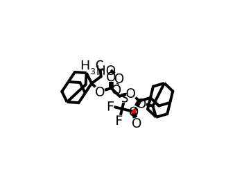 CCC1(OC(=O)COC(=O)C23CC4CC(C2)C(OC(=O)C(F)(F)SOOO)C(C4)C3)C2CC3CC(C2)CC1C3